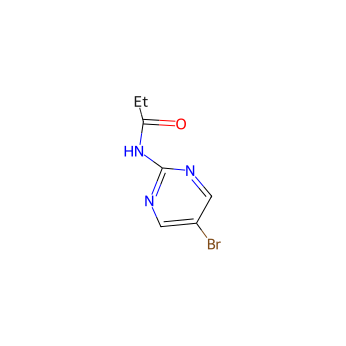 CCC(=O)Nc1ncc(Br)cn1